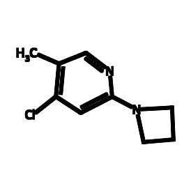 Cc1cnc(N2CCC2)cc1Cl